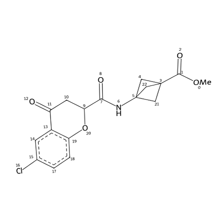 COC(=O)C12CC(NC(=O)C3CC(=O)c4cc(Cl)ccc4O3)(C1)C2